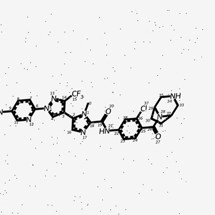 Cn1c(-c2cn(-c3ccc(N)cn3)nc2C(F)(F)F)cnc1C(=O)Nc1ccc(C(=O)N2C3CCC2CNC3)c(Cl)c1